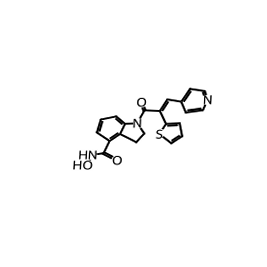 O=C(NO)c1cccc2c1CCN2C(=O)/C(=C/c1ccncc1)c1cccs1